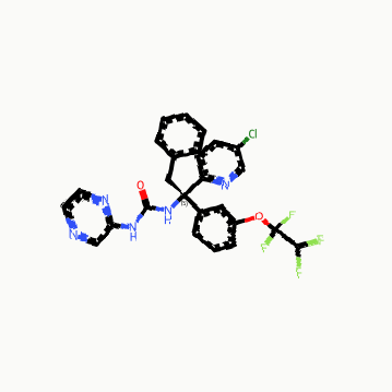 O=C(Nc1cnccn1)N[C@@](Cc1ccccc1)(c1cccc(OC(F)(F)C(F)F)c1)c1ccc(Cl)cn1